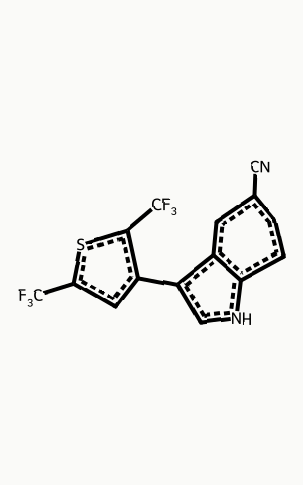 N#Cc1ccc2[nH]cc(-c3cc(C(F)(F)F)sc3C(F)(F)F)c2c1